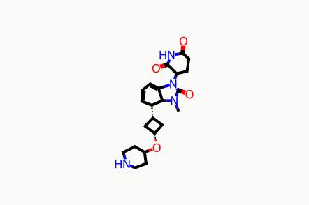 CN1C(=O)N(C2CCC(=O)NC2=O)C2=CC=CC([C@H]3C[C@@H](OC4CCNCC4)C3)C21